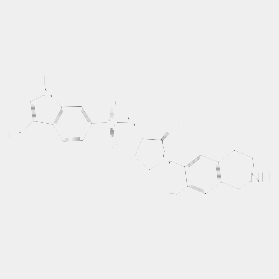 O=C1[C@@H](NS(=O)(=O)c2ccc3c(Cl)c[nH]c3c2)CCN1c1cc2c(cc1F)CNCC2